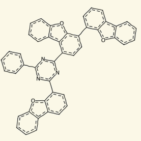 c1ccc(-c2nc(-c3cccc4c3oc3ccccc34)nc(-c3ccc(-c4cccc5c4oc4ccccc45)c4oc5ccccc5c34)n2)cc1